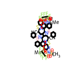 COc1ccc2sc(/C(C#N)=c3\c4c(-c5ccc(S(=O)(=O)C(F)(F)C(F)(F)C(F)(F)S(=O)(=O)NSC)cc5)n(B(c5ccccc5)c5ccccc5)/c(=C(\C#N)c5nc6cc(OC)ccc6s5)c4c(-c4ccc(SC(F)(F)C(F)(F)C(F)(F)S(=O)(=O)NS(C)(=O)=O)cc4)n3B(c3ccccc3)c3ccccc3)nc2c1